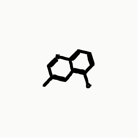 Cc1cnc2cccc([O])c2c1